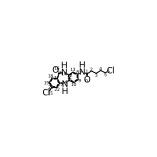 O=C(CCCCCl)Nc1ccc2c(c1)NC(=O)c1ccc(Cl)cc1N2